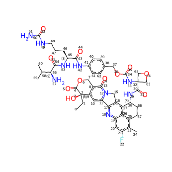 CC[C@]1(O)C(=O)OCc2c1cc1n(c2=O)Cc2c-1nc1cc(F)c(C)c3c1c2[C@H](NC(=O)C1(NC(=O)OCc2ccc(NC(=O)[C@H](CCCNC(N)=O)NC(=O)[C@@H](N)C(C)C)cc2)COC1)CC3